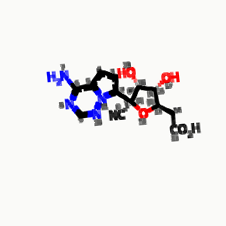 N#C[C@@]1(c2ccc3c(N)ncnn23)O[C@H](CC(=O)O)[C@@H](O)[C@H]1O